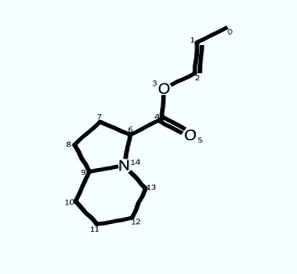 CC=COC(=O)C1CCC2CCCCN21